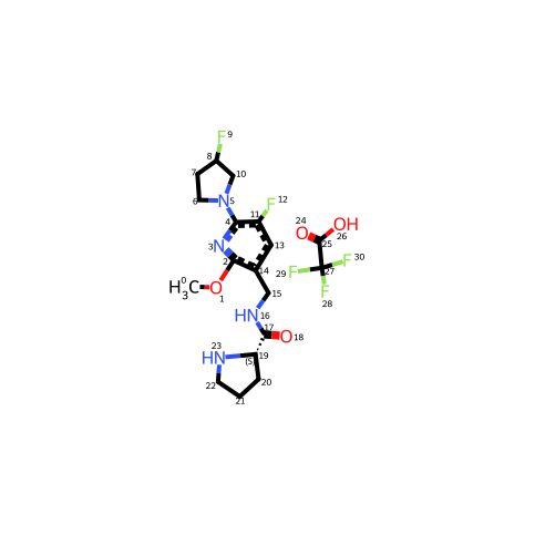 COc1nc(N2CCC(F)C2)c(F)cc1CNC(=O)[C@@H]1CCCN1.O=C(O)C(F)(F)F